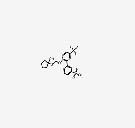 CS(=O)(=O)c1cccc(-c2cc(C(F)(F)F)cnc2OCSC2(O)CCCC2)c1